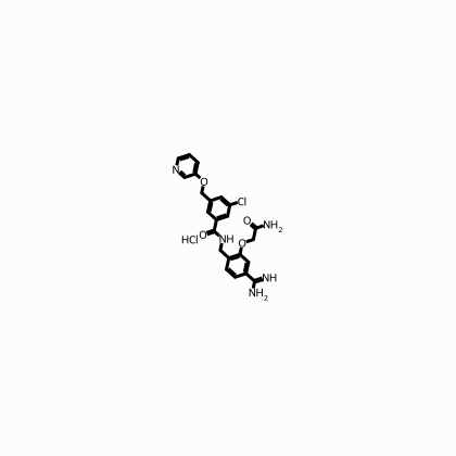 Cl.N=C(N)c1ccc(CNC(=O)c2cc(Cl)cc(COc3cccnc3)c2)c(OCC(N)=O)c1